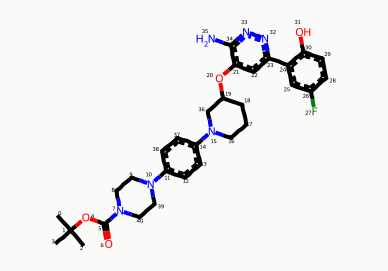 CC(C)(C)OC(=O)N1CCN(c2ccc(N3CCCC(Oc4cc(-c5cc(F)ccc5O)nnc4N)C3)cc2)CC1